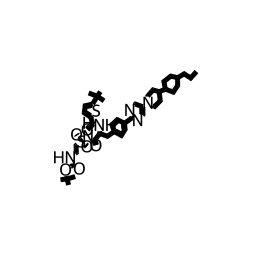 CCCC1CCC(C2CCN(c3cnc(-c4ccc(CC(NC(=O)c5ccc(C(C)(C)C)s5)C(=O)NS(=O)(=O)CCNC(=O)OC(C)(C)C)cc4)nc3)CC2)CC1